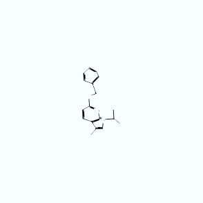 Cc1cn(C(C)C)c2nc(OCc3ccccc3)ccc12